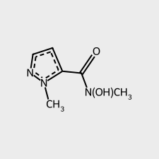 CN(O)C(=O)c1ccnn1C